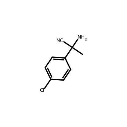 CC(N)(C#N)c1ccc(Cl)cc1